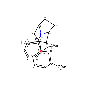 COc1cccc(C2(C(=O)O)CC3CCC(C2)N3c2ccccc2OC)c1